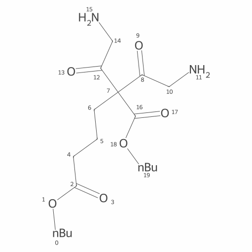 CCCCOC(=O)CCCC(C(=O)CN)(C(=O)CN)C(=O)OCCCC